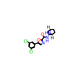 O=C(N[C@@H]1C[C@H]2CC[C@@H]1N2)c1ncc(-c2cc(Cl)cc(Cl)c2)o1